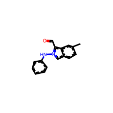 Cc1ccc2cn(Nc3ccccc3)c(C=O)c2c1